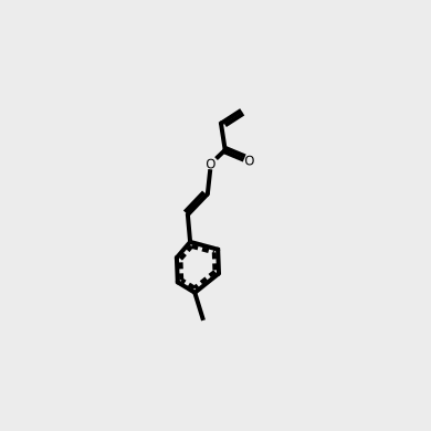 C=CC(=O)OC=Cc1ccc(C)cc1